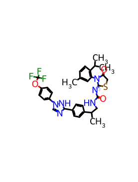 Cc1ccc(C(C)C)c(N2C(=O)CS/C2=N\C(=O)NCC(C)c2ccc(C3N=CN(c4ccc(OC(F)(F)F)cc4)N3)cc2)c1